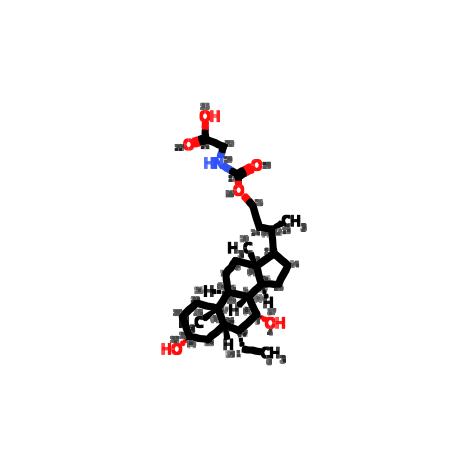 CC[C@H]1[C@@H](O)[C@@H]2[C@H](CC[C@]3(C)C([C@H](C)CCOC(=O)NCC(=O)O)CC[C@@H]23)[C@@]2(C)CC[C@@H](O)C[C@@H]12